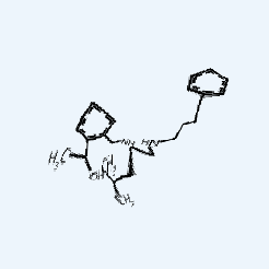 CC(C)CC(CNCCCc1ccccc1)NCc1ccccc1C(C)O